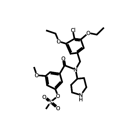 CCOc1cc(CN(C(=O)c2cc(OC)cc(OS(C)(=O)=O)c2)C2CCNCC2)cc(OCC)c1Cl